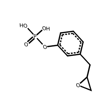 O=P(O)(O)Oc1cccc(CC2CO2)c1